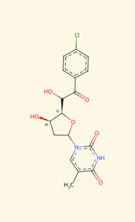 Cc1cn(C2C[C@@H](O)[C@@H](C(O)C(=O)c3ccc(Cl)cc3)O2)c(=O)[nH]c1=O